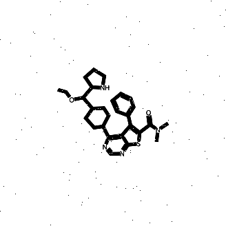 CCOC(C1CCC(c2ncnc3sc(C(=O)N(C)C)c(-c4ccccc4)c23)CC1)C1CCCN1